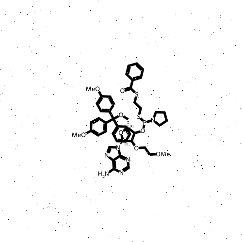 COCCOC1C(OP(SCCSC(=O)c2ccccc2)N2CCCC2)[C@@H](COC(c2ccccc2)(c2ccc(OC)cc2)c2ccc(OC)cc2)O[C@H]1n1cnc2c(N)ncnc21